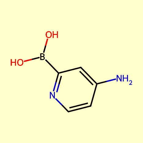 Nc1ccnc(B(O)O)c1